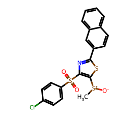 C[S+]([O-])c1sc(-c2ccc3ccccc3c2)nc1S(=O)(=O)c1ccc(Cl)cc1